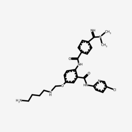 CN(C)C(=N)c1ccc(C(=O)Nc2ccc(OCNCCCCN)cc2C(=O)Nc2ccc(Cl)cn2)cc1